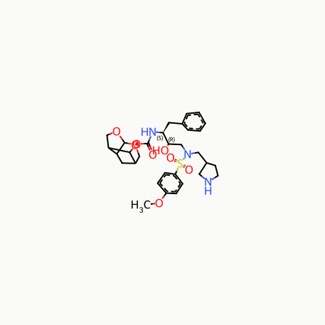 COc1ccc(S(=O)(=O)N(CC2CCNC2)C[C@@H](O)[C@H](Cc2ccccc2)NC(=O)OC2C3COC4OCC2C4C3)cc1